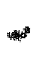 CC1(C)OB(c2cccc(-c3cnco3)c2)OC1(C)S